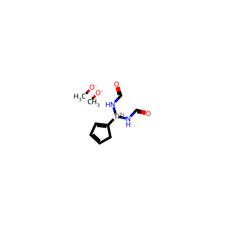 C[O-].C[O-].O=C[NH][Ti+2]([NH]C=O)[C]1=CC=CC1